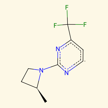 C[C@H]1CCN1c1n[c]cc(C(F)(F)F)n1